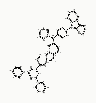 C1=CC(n2c3ccccc3c3ccccc32)CC=C1N(c1ccccc1)c1ccc2oc3cc(-c4nc(-c5ccccc5)nc(-c5ccccc5)n4)ccc3c2c1